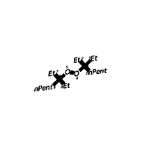 CCCCCC(CC)(CC)OOC(CC)(CC)CCCCC